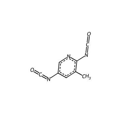 Cc1cc(N=C=O)cnc1N=C=O